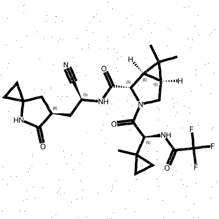 CC1([C@H](NC(=O)C(F)(F)F)C(=O)N2C[C@H]3[C@@H]([C@H]2C(=O)N[C@H](C#N)C[C@@H]2CC4(CC4)NC2=O)C3(C)C)CC1